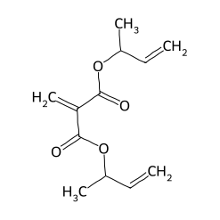 C=CC(C)OC(=O)C(=C)C(=O)OC(C)C=C